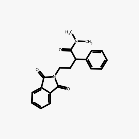 CN(C)C(=O)C(CCN1C(=O)c2ccccc2C1=O)c1ccccc1